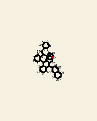 c1ccc(-c2oc3cccc(-c4c5ccccc5c(-c5ccc6ccccc6c5)c5ccccc45)c3c2-c2ccccc2)cc1